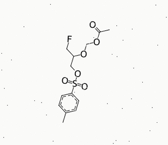 CC(=O)OCOC(CF)COS(=O)(=O)c1ccc(C)cc1